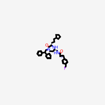 O=C(/C=C/c1ccc(CI)cc1)NC[C@@H]1CCN(CC(c2ccccc2)c2ccccc2)C(=O)[C@H](CCCC2CCCC2)N1